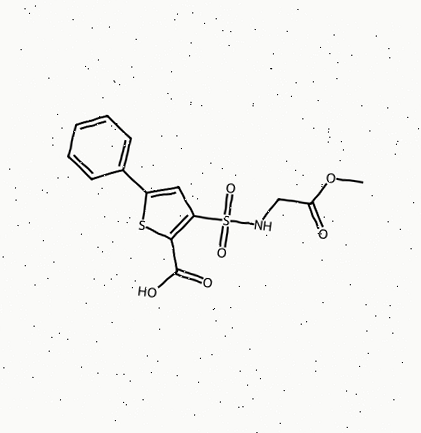 COC(=O)CNS(=O)(=O)c1cc(-c2ccccc2)sc1C(=O)O